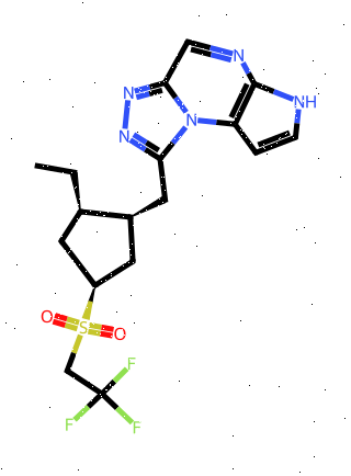 CC[C@@H]1C[C@H](S(=O)(=O)CC(F)(F)F)C[C@@H]1Cc1nnc2cnc3[nH]ccc3n12